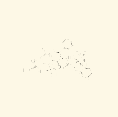 CC(=O)N1C=C(c2ccccc2)N(CC(=O)C(Cc2ccccc2)C(N)(O)C(F)(F)F)C(=O)C1C(CO[SiH](C)C)C(C)(C)C